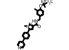 CCOC(=O)C(C)(C)Oc1ccc(CNC(=O)c2cc(-c3ccc(-c4ccncc4)cc3)n(C)n2)cc1C